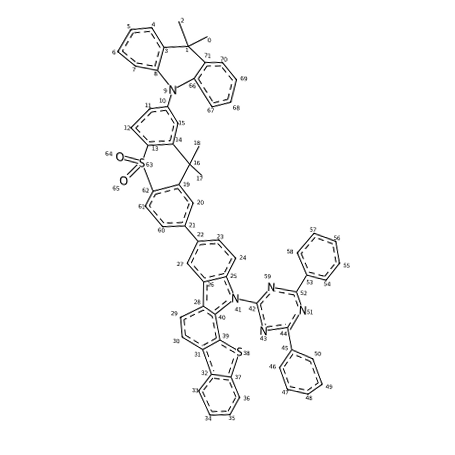 CC1(C)c2ccccc2N(c2ccc3c(c2)C(C)(C)c2cc(-c4ccc5c(c4)c4ccc6c7ccccc7sc6c4n5-c4nc(-c5ccccc5)nc(-c5ccccc5)n4)ccc2S3(=O)=O)c2ccccc21